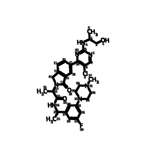 CC(CO)Nc1ncc(Cl)c(-c2ccc3c(c2)C(=O)N(C(C)C(=O)NC(C)c2cc(F)cc(N4CCN(C)CC4)c2)C3)n1